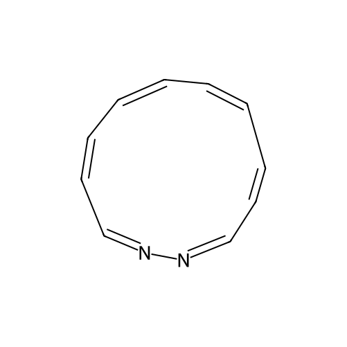 C1=CC=CC=NN=CC=CC=C1